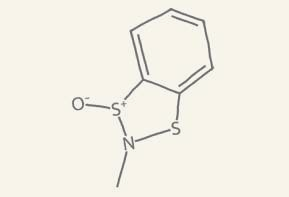 CN1Sc2ccccc2[S+]1[O-]